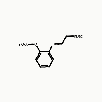 CCCCCCCCCCCCOc1c[c]ccc1OCCCCCCCC